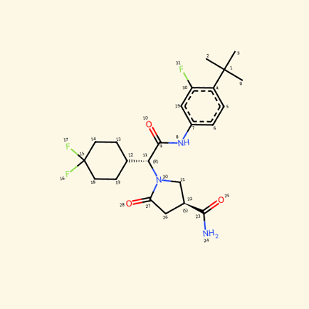 CC(C)(C)c1ccc(NC(=O)[C@@H](C2CCC(F)(F)CC2)N2C[C@@H](C(N)=O)CC2=O)cc1F